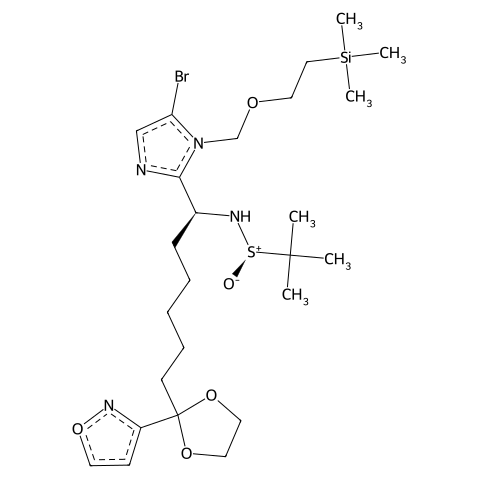 CC(C)(C)[S@@+]([O-])N[C@@H](CCCCCC1(c2ccon2)OCCO1)c1ncc(Br)n1COCC[Si](C)(C)C